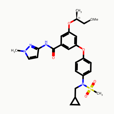 COC[C@H](C)Oc1cc(Oc2ccc(N(CC3CC3)S(C)(=O)=O)cc2)cc(C(=O)Nc2ccn(C)n2)c1